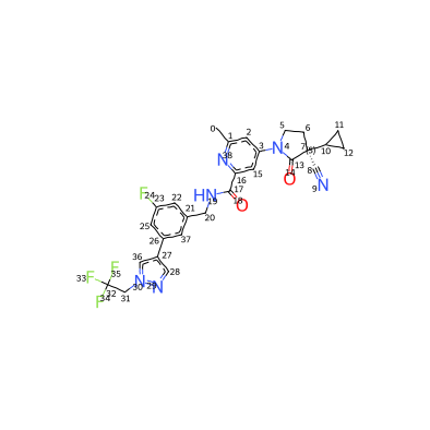 Cc1cc(N2CC[C@@](C#N)(C3CC3)C2=O)cc(C(=O)NCc2cc(F)cc(-c3cnn(CC(F)(F)F)c3)c2)n1